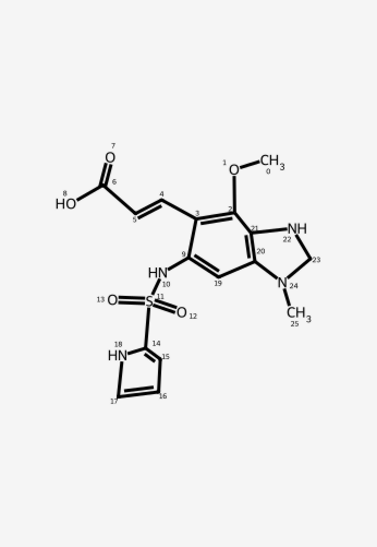 COc1c(/C=C/C(=O)O)c(NS(=O)(=O)c2ccc[nH]2)cc2c1NCN2C